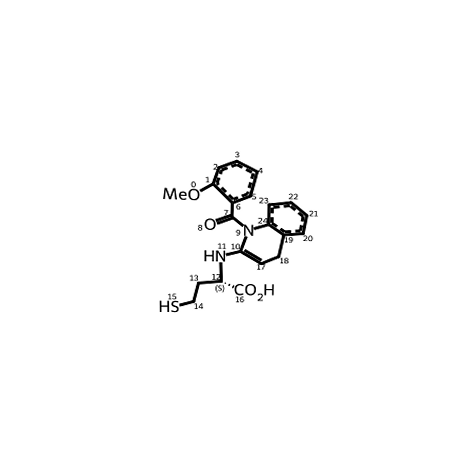 COc1ccccc1C(=O)N1C(N[C@@H](CCS)C(=O)O)=CCc2ccccc21